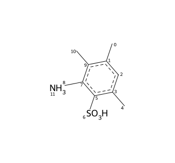 Cc1cc(C)c(S(=O)(=O)O)c(C)c1C.N